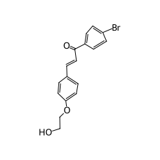 O=C(C=Cc1ccc(OCCO)cc1)c1ccc(Br)cc1